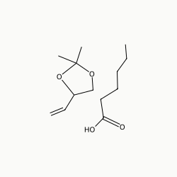 C=CC1COC(C)(C)O1.CCCCCC(=O)O